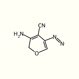 [N]=NC1=COCC(N)=C1C#N